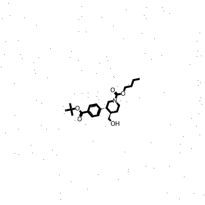 CCCCOC(=O)N1CC[C@@H](CO)[C@H](c2ccc(C(=O)OC(C)(C)C)cc2)C1